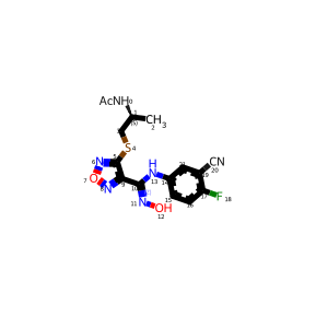 CC(=O)N[C@@H](C)CSc1nonc1/C(=N/O)Nc1ccc(F)c(C#N)c1